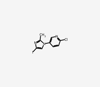 Cc1nc(I)cn1-c1ccc(Cl)nc1